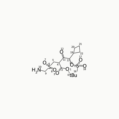 CC(C)(C)OC(=O)C(CS(=O)(=O)CN)C(=O)C(OS(C)(=O)=O)C1CCC1